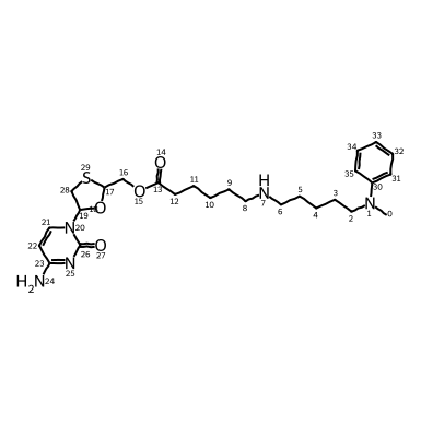 CN(CCCCCNCCCCCC(=O)OCC1OC(n2ccc(N)nc2=O)CS1)c1ccccc1